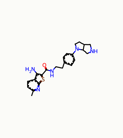 Cc1ccc2c(N)c(C(=O)NCCc3ccc(N4CCC5CNCC54)cc3)sc2n1